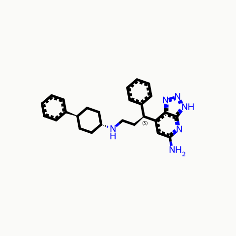 Nc1cc([C@@H](CCN[C@H]2CC[C@H](c3ccccc3)CC2)c2ccccc2)c2nn[nH]c2n1